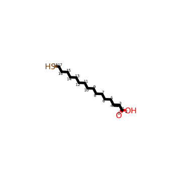 O=C(O)C=CCCCCCCCCCCCCCS